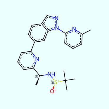 Cc1cccc(-n2ncc3ccc(-c4cccc([C@H](C)N[S@+]([O-])C(C)(C)C)n4)cc32)n1